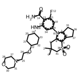 CC1(C)Cc2c(c3c(n2-c2cc(F)c(C(N)=O)c(N[C@H]4CC[C@H](OCCN5CCOCC5)CC4)c2)CCC3)S(=O)(=O)C1